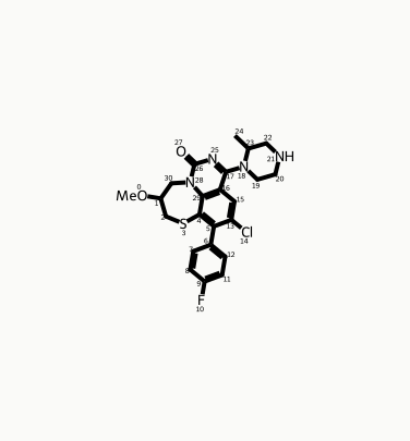 COC1CSc2c(-c3ccc(F)cc3)c(Cl)cc3c(N4CCNCC4C)nc(=O)n(c23)C1